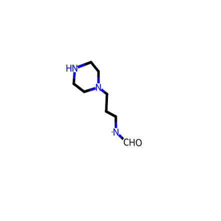 O=C[N]CCCN1CCNCC1